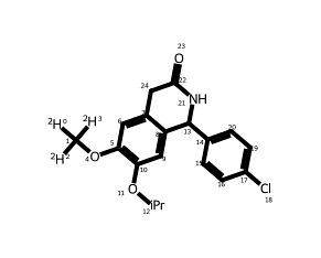 [2H]C([2H])([2H])Oc1cc2c(cc1OC(C)C)C(c1ccc(Cl)cc1)NC(=O)C2